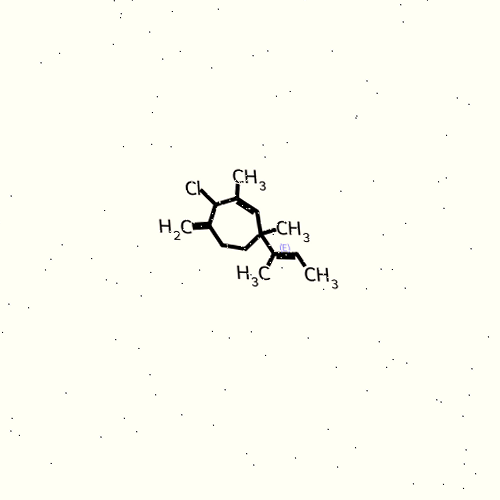 C=C1CCC(C)(/C(C)=C/C)C=C(C)C1Cl